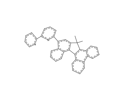 CC1(C)c2cc(-c3cccc(-c4ccccn4)n3)c3ccccc3c2-c2c1c1ccccc1c1ccccc21